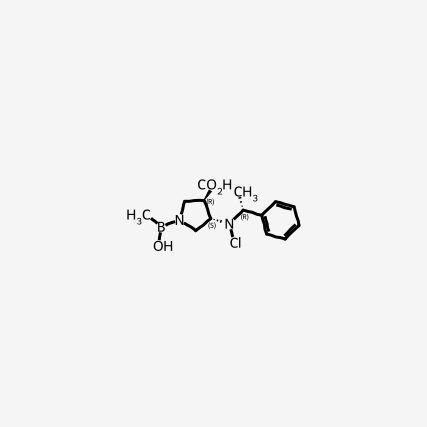 CB(O)N1C[C@@H](N(Cl)[C@H](C)c2ccccc2)[C@H](C(=O)O)C1